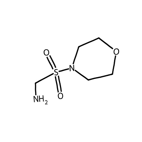 NCS(=O)(=O)N1CCOCC1